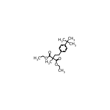 CCOC(=O)C(C)(CCc1ccc(C(C)(C)C)cc1)C(=O)OCC